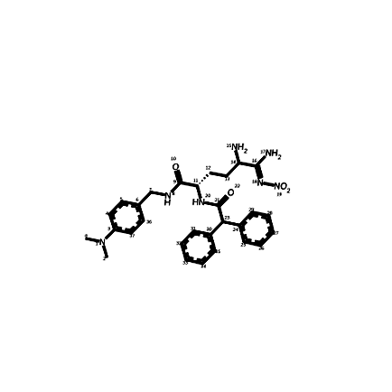 CN(C)c1ccc(CNC(=O)[C@H](CCC(N)C(N)=N[N+](=O)[O-])NC(=O)C(c2ccccc2)c2ccccc2)cc1